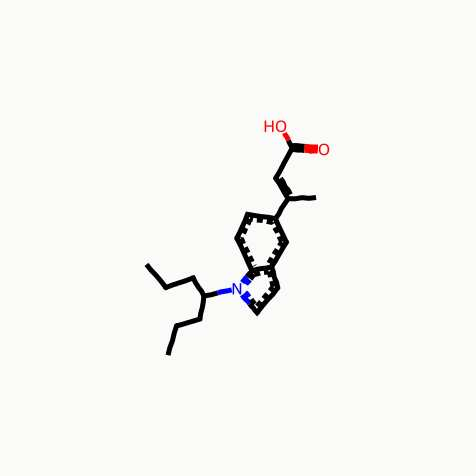 CCCC(CCC)n1ccc2cc(/C(C)=C/C(=O)O)ccc21